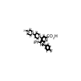 CC(C)c1nn(-c2ccc(F)cc2)c2nc(C(=O)O)cc(N3CCC(N4CCN(C)CC4)CC3)c12